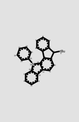 CC(C)(C)C1c2ccccc2-c2c1ccc1c3ccccc3n(-c3ccccc3)c21